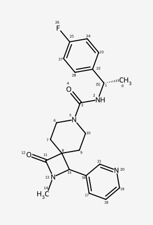 C[C@H](NC(=O)N1CCC2(CC1)C(=O)N(C)C2c1cccnc1)c1ccc(F)cc1